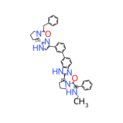 CCN[C@@H](C(=O)N1CCC[C@H]1c1nc2ccc(-c3cccc(-c4c[nH]c([C@@H]5CCCN5C(=O)Cc5ccccc5)n4)c3)cc2[nH]1)c1ccccc1